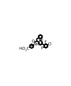 O=C(NC12CCC(C(=O)O)(CC1)CC2)C(Cc1ccccc1)c1ccc(-c2c(F)ccc(Cl)c2F)c[n+]1[O-]